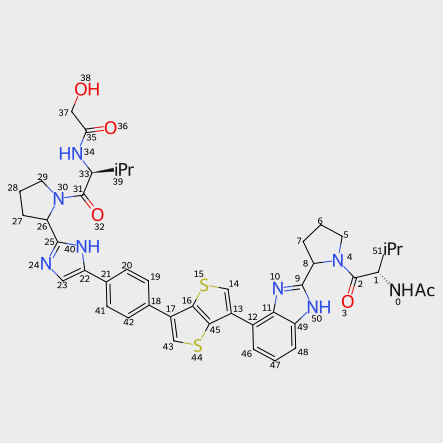 CC(=O)N[C@H](C(=O)N1CCCC1c1nc2c(-c3csc4c(-c5ccc(-c6cnc(C7CCCN7C(=O)[C@@H](NC(=O)CO)C(C)C)[nH]6)cc5)csc34)cccc2[nH]1)C(C)C